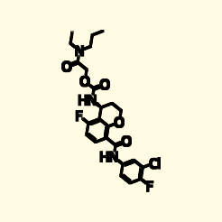 CCCN(CC)C(=O)COC(=O)N[C@H]1CCOc2c(C(=O)Nc3ccc(F)c(Cl)c3)ccc(F)c21